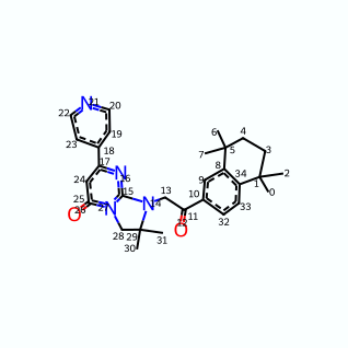 CC1(C)CCC(C)(C)c2cc(C(=O)CN3c4nc(-c5ccncc5)cc(=O)n4CC3(C)C)ccc21